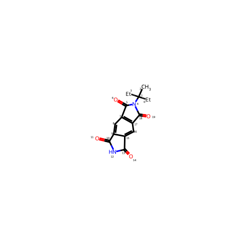 CCC(C)(CC)n1c(=O)c2cc3c(=O)[nH]c(=O)c3cc2c1=O